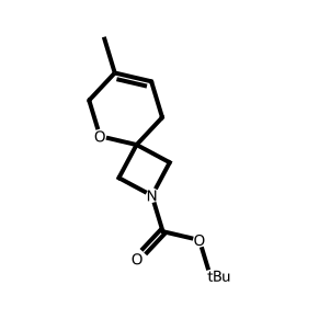 CC1=CCC2(CN(C(=O)OC(C)(C)C)C2)OC1